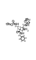 CC(C)(C)OC(=O)NCCCC(CN)(CCCNC(=O)OC(C)(C)C)C(=O)NCc1ccccc1